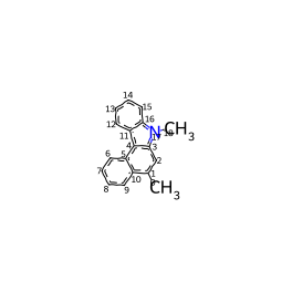 Cc1cc2c(c3ccccc13)c1ccccc1n2C